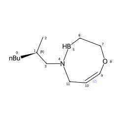 CCCC[C@@H](C)CN1BCCO/C=C\C1